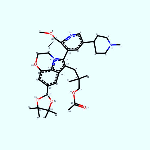 CO[C@@H](C)c1ncc(C2CCN(C)CC2)cc1-c1c(CC(C)(C)COC(C)=O)c2cc(B3OC(C)(C)C(C)(C)O3)cc3c2n1CCO3